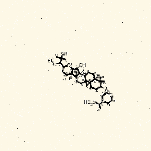 CCOC(C1C[C@@H](C)[C@H]2C(O1)[C@H](O)[C@@]1(C)C3CC[C@H]4C(C)(C)C(O[C@H]5CN(C(C)C(=O)O)CCO5)CCC45CC35CCC21C)C(C)(C)O